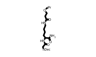 CCCCCCCCCCCC(=O)NC(CCCCNC(=O)CCOC(C)C)C(N)=O